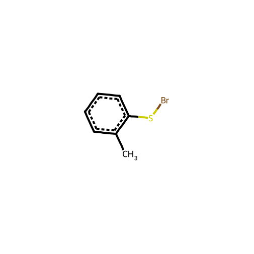 Cc1ccccc1SBr